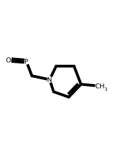 CC1=CCN(CP=O)CC1